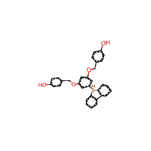 Oc1ccc(COc2cc(OCc3ccc(O)cc3)cc([SH]3c4ccccc4-c4ccccc43)c2)cc1